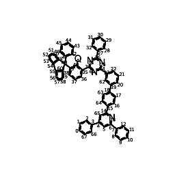 c1ccc(-c2cc(-c3ccccc3)nc(-c3ccc(-c4cccc(-c5nc(-c6ccccc6)nc(-c6cccc7c6Oc6ccccc6C76c7ccccc7-c7ccccc76)n5)c4)cc3)c2)cc1